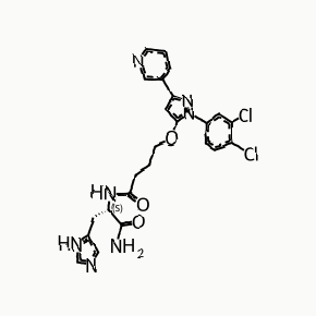 NC(=O)[C@H](Cc1cnc[nH]1)NC(=O)CCCOc1cc(-c2cccnc2)nn1-c1ccc(Cl)c(Cl)c1